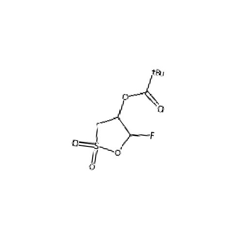 CC(C)(C)C(=O)OC1CS(=O)(=O)OC1F